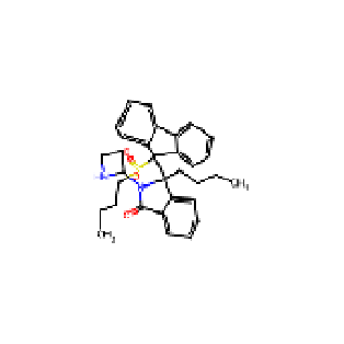 CCCCC1(C2(S(=O)(=O)CCCC)c3ccccc3-c3ccccc32)c2ccccc2C(=O)N1C1CCN1